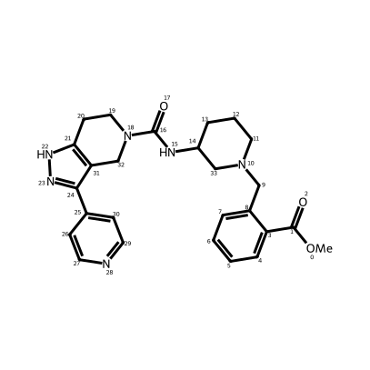 COC(=O)c1ccccc1CN1CCCC(NC(=O)N2CCc3[nH]nc(-c4ccncc4)c3C2)C1